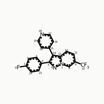 Fc1ccc(-c2nn3cc(C(F)(F)F)ccc3c2-c2ccncc2)cc1